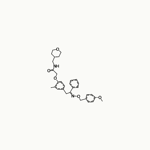 COc1ccc(CON=C(Cc2ccc(OCC(=O)NCC3CCOCC3)c(C)c2)c2ccccc2)cc1